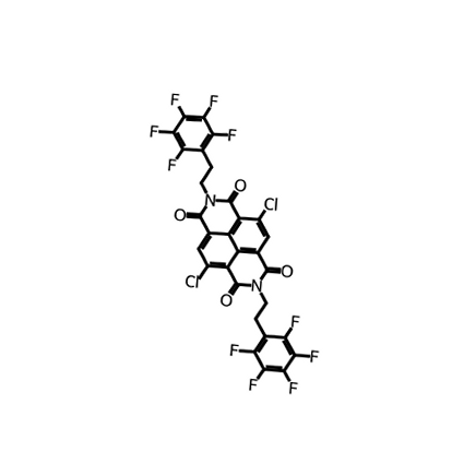 O=C1c2cc(Cl)c3c4c(cc(Cl)c(c24)C(=O)N1CCc1c(F)c(F)c(F)c(F)c1F)C(=O)N(CCc1c(F)c(F)c(F)c(F)c1F)C3=O